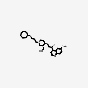 COc1ccc2nccc([C@H](O)CC[C@@H]3CCN(CCCSC4CCCCCC4)C[C@@H]3CO)c2c1